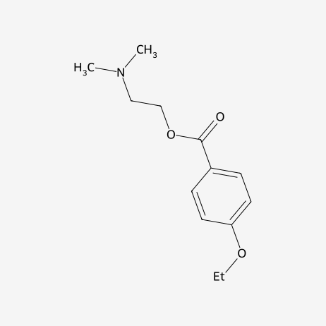 CCOc1ccc(C(=O)OCCN(C)C)cc1